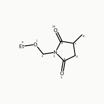 CCOCN1C(=O)CC(C)C1=O